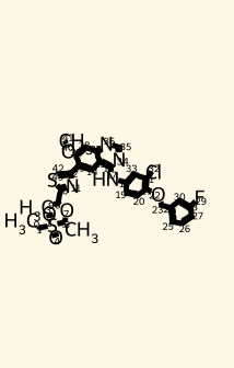 CCS(=O)(=O)C(C)OC(C)c1nc(-c2cc3c(Nc4ccc(OCc5cccc(F)c5)c(Cl)c4)ncnc3cc2OC)cs1